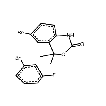 CC1(C)OC(=O)Nc2ccc(Br)cc21.Fc1cccc(Br)c1